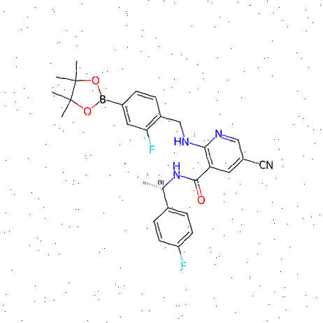 C[C@H](NC(=O)c1cc(C#N)cnc1NCc1ccc(B2OC(C)(C)C(C)(C)O2)cc1F)c1ccc(F)cc1